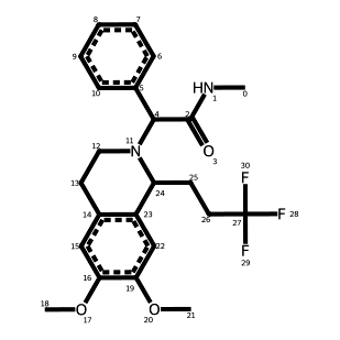 CNC(=O)C(c1ccccc1)N1CCc2cc(OC)c(OC)cc2C1CCC(F)(F)F